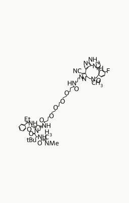 CC[C@H](NC(=O)[C@H]1C[C@@H](NC(=O)CCOCCOCCOCCOCCC(=O)NCCn2nc3c(c2C#N)-c2cnc(N)c(c2)N2CCC[C@@H]2c2cc(F)ccc2C(=O)N(C)C3)CN1C(=O)C(NC(=O)[C@@H](C)NC)C(C)(C)C)c1ccccc1